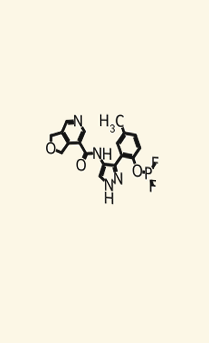 Cc1ccc(OP(F)F)c(-c2n[nH]cc2NC(=O)c2cncc3c2COC3)c1